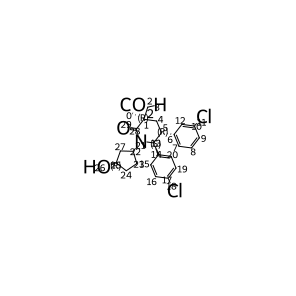 C[C@]1(CC(=O)O)C[C@H](c2cccc(Cl)c2)[C@@H](c2ccc(Cl)cc2)N(C2CC[C@@H](O)C2)C1=O